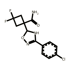 NC(=O)C1(C2NC(c3ccc(Cl)cc3)=NO2)CC(F)(F)C1